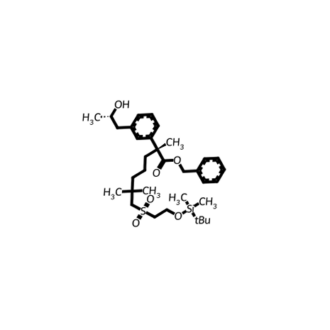 C[C@H](O)Cc1cccc([C@@](C)(CCCC(C)(C)CS(=O)(=O)CCO[Si](C)(C)C(C)(C)C)C(=O)OCc2ccccc2)c1